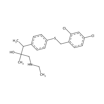 CCNCC(C)(O)C(C)c1ccc(SCc2ccc(Cl)cc2Cl)cc1